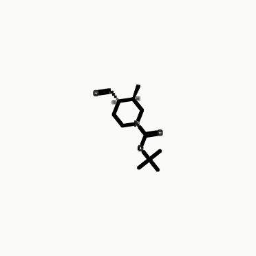 C[C@H]1CN(C(=O)OC(C)(C)C)CC[C@@H]1C=O